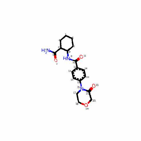 NC(=O)C1CCCCC1NC(=O)c1ccc(N2CCOCC2=O)cc1